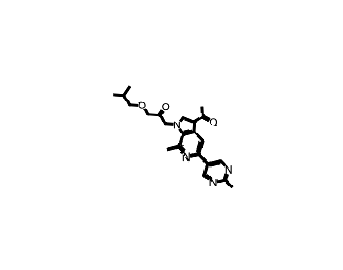 CC(=O)c1cn(CC(=O)COCC(C)C)c2c(C)nc(-c3cnc(C)nc3)cc12